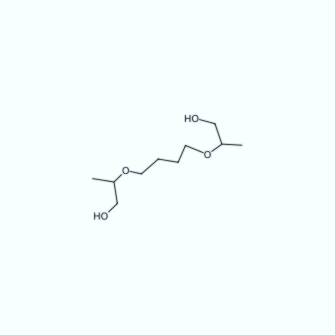 CC(CO)OCCCCOC(C)CO